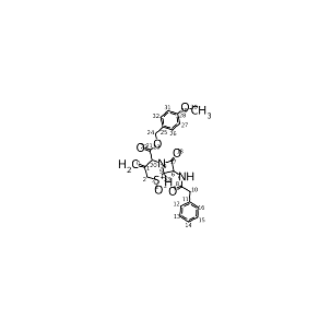 C=C1C[S+]([O-])[C@H]2C(NC(=O)Cc3ccccc3)C(=O)N2C1C(=O)OCc1ccc(OC)cc1